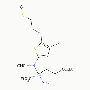 CCOC(=O)CC[C@](N)(C(=O)OCC)N(C=O)c1cc(C)c(CCCSC(C)=O)s1